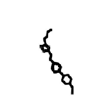 CCCCc1nnc(CCc2ccc(C3CCC(CC)CC3)cc2)s1